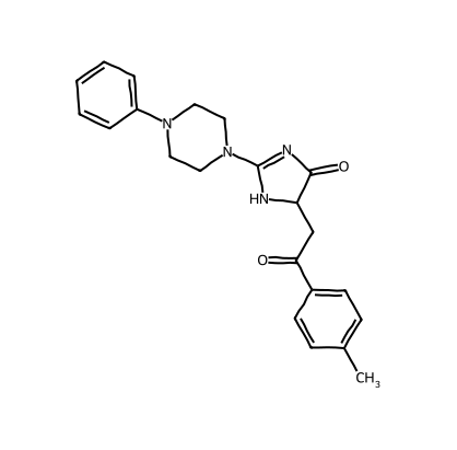 Cc1ccc(C(=O)CC2NC(N3CCN(c4ccccc4)CC3)=NC2=O)cc1